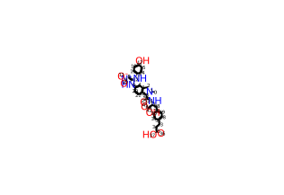 CN1Cc2cc(NC(=C[N+](=O)[O-])Nc3ccc(O)cc3)ccc2C1C(=O)NC(Cc1ccc(CCC(=O)O)cc1)C(=O)O